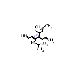 C=CCC(/C(=C/C=N)NC(C)C)=C(/CC)CCC